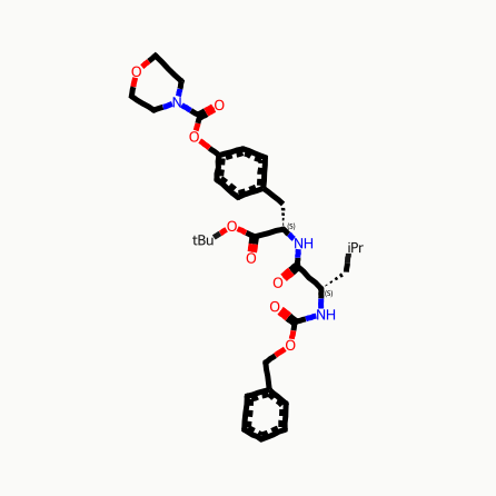 CC(C)C[C@H](NC(=O)OCc1ccccc1)C(=O)N[C@@H](Cc1ccc(OC(=O)N2CCOCC2)cc1)C(=O)OC(C)(C)C